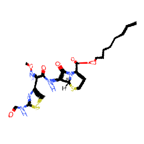 CCCCCCCCOC(=O)C1=CCS[C@@H]2C(NC(=O)/C(=N\OC)c3csc(NC=O)n3)C(=O)N12